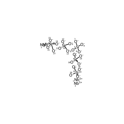 [Nb+5].[Nb+5].[Nb+5].[Nb+5].[O-][Si]([O-])([O-])[O-].[O-][Si]([O-])([O-])[O-].[O-][Si]([O-])([O-])[O-].[O-][Si]([O-])([O-])[O-].[O-][Si]([O-])([O-])[O-]